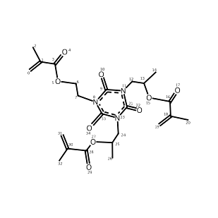 C=C(C)C(=O)OCCn1c(=O)n(CC(C)OC(=O)C(=C)C)c(=O)n(CC(C)OC(=O)C(=C)C)c1=O